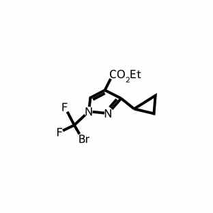 CCOC(=O)c1cn(C(F)(F)Br)nc1C1CC1